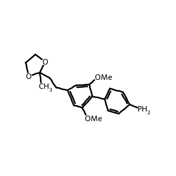 COc1cc(CCC2(C)OCCO2)cc(OC)c1-c1ccc(P)cc1